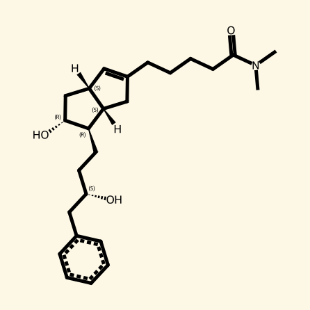 CN(C)C(=O)CCCCC1=C[C@H]2C[C@@H](O)[C@H](CC[C@H](O)Cc3ccccc3)[C@H]2C1